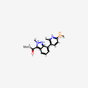 COC(=O)c1c2cccc(-c3ccc(PC)nc3C)c2nn1C